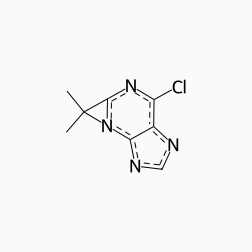 CC1(C)c2nc(Cl)c3ncnc-3n21